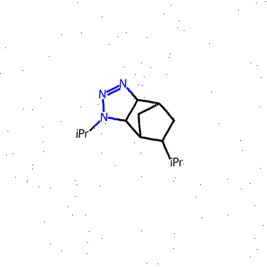 CC(C)C1CC2CC1C1C2N=NN1C(C)C